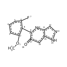 COc1cccc(F)c1-n1nc2cn[nH]c2cc1=O